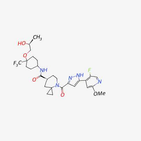 COc1cc(-c2cc(C(=O)N3CC[C@H](C(=O)NC4CCC(OC[C@H](C)O)(C(F)(F)F)CC4)CC34CC4)n[nH]2)c(F)cn1